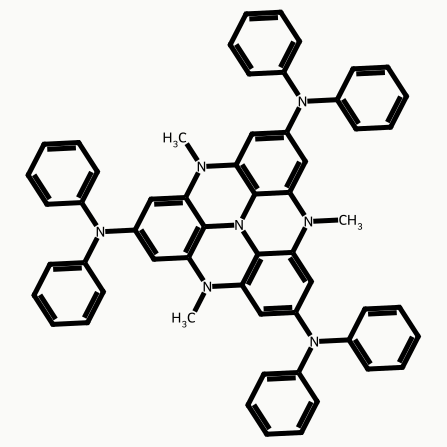 CN1c2cc(N(c3ccccc3)c3ccccc3)cc3c2N2c4c1cc(N(c1ccccc1)c1ccccc1)cc4N(C)c1cc(N(c4ccccc4)c4ccccc4)cc(c12)N3C